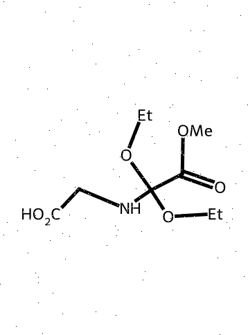 CCOC(NCC(=O)O)(OCC)C(=O)OC